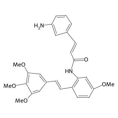 COc1ccc(/C=C/c2cc(OC)c(OC)c(OC)c2)c(NC(=O)/C=C/c2cccc(N)c2)c1